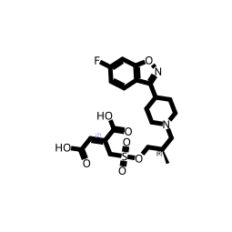 C[C@@H](COS(=O)(=O)C/C(=C\C(=O)O)C(=O)O)CN1CCC(c2noc3cc(F)ccc23)CC1